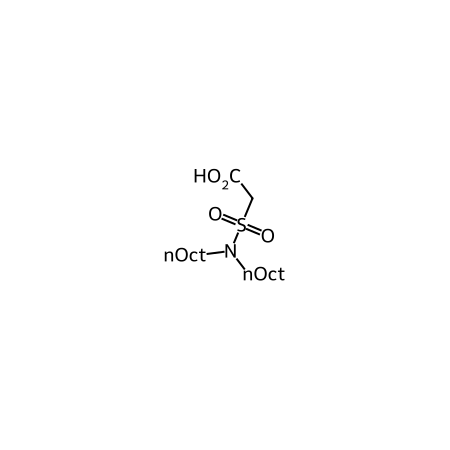 CCCCCCCCN(CCCCCCCC)S(=O)(=O)CC(=O)O